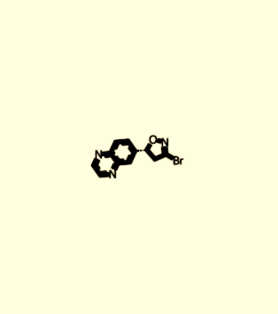 BrC1=NO[C@@H](c2ccc3nccnc3c2)C1